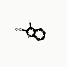 O=Cc1sc2ccccc2c1I